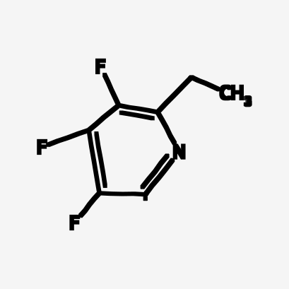 CCc1n[c]c(F)c(F)c1F